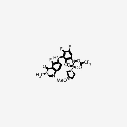 CO[C@@H]1CCN(S(=O)(=O)N(OC(=O)C(F)(F)F)c2cc(F)c(F)c(Nc3ccc4ncn(C)c(=O)c4c3F)c2Cl)C1